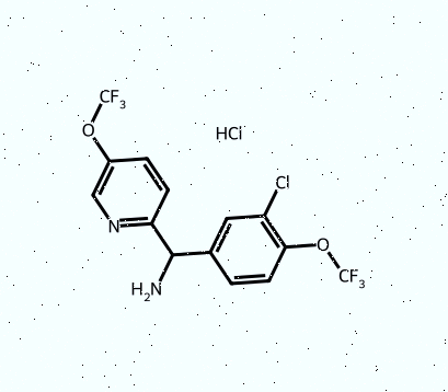 Cl.NC(c1ccc(OC(F)(F)F)c(Cl)c1)c1ccc(OC(F)(F)F)cn1